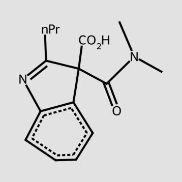 CCCC1=Nc2ccccc2C1(C(=O)O)C(=O)N(C)C